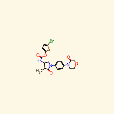 CC1C(=O)N(c2ccc(N3CCOCC3=O)cc2)CC1NC(=O)Oc1ccc(Br)s1